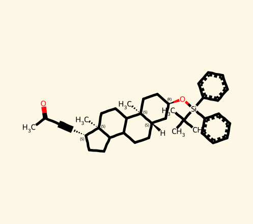 CC(=O)C#C[C@H]1CCC2C3CC[C@H]4C[C@H](O[Si](c5ccccc5)(c5ccccc5)C(C)(C)C)CC[C@]4(C)C3CC[C@@]21C